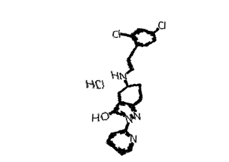 Cl.Oc1c2c(nn1-c1ccccn1)CCC(NCCc1ccc(Cl)cc1Cl)C2